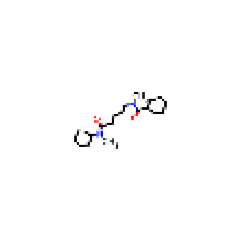 CN(CCCCC(=O)N(C)C1CCCCC1)C(=O)C1CCCCC1